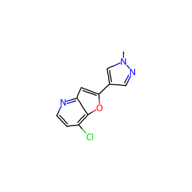 Cn1cc(-c2cc3nccc(Cl)c3o2)cn1